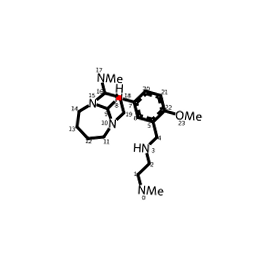 CNCCNCc1cc(NC2N3CCCCN2C(NC)CC3)ccc1OC